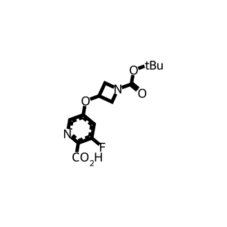 CC(C)(C)OC(=O)N1CC(Oc2cnc(C(=O)O)c(F)c2)C1